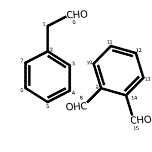 O=CCc1ccccc1.O=Cc1ccccc1C=O